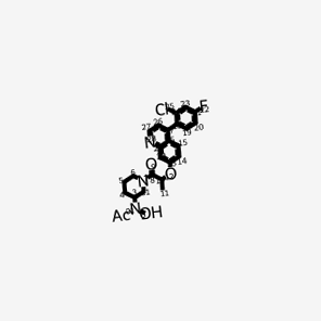 CC(=O)N(O)C1CCCN(C(=O)C(C)Oc2ccc3c(-c4ccc(F)cc4Cl)ccnc3c2)C1